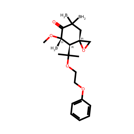 BC1(B)C[C@]2(CO2)[C@@H](C(C)(C)OCCOc2ccccc2)[C@](B)(OC)C1=O